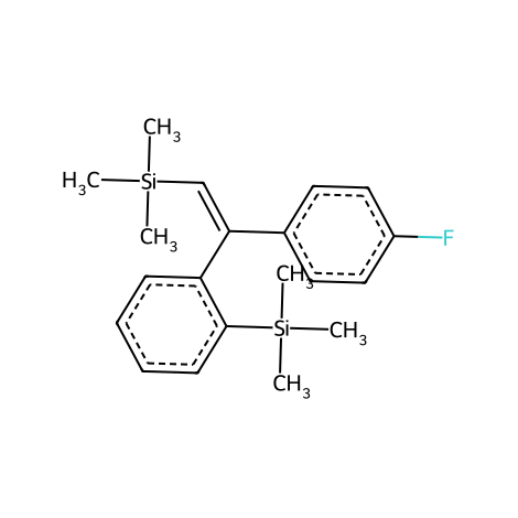 C[Si](C)(C)/C=C(/c1ccc(F)cc1)c1ccccc1[Si](C)(C)C